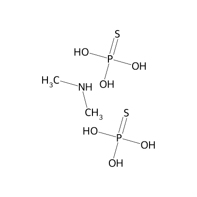 CNC.OP(O)(O)=S.OP(O)(O)=S